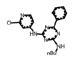 CCCCNc1nc(Nc2ccnc(Cl)c2)nc(-c2ccccc2)n1